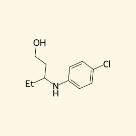 CCC(CCO)Nc1ccc(Cl)cc1